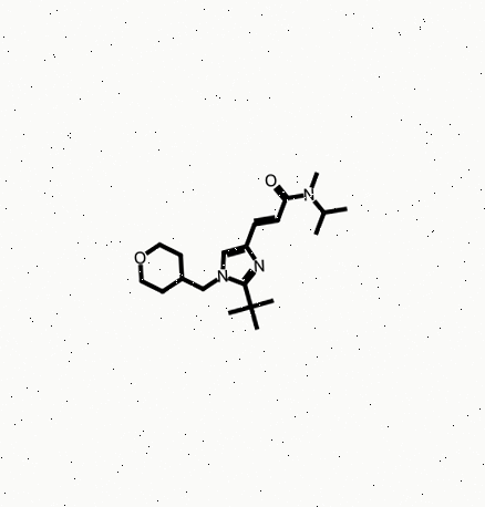 CC(C)N(C)C(=O)C=Cc1cn(CC2CCOCC2)c(C(C)(C)C)n1